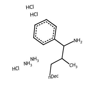 CCCCCCCCCCCC(C)C(N)c1ccccc1.Cl.Cl.Cl.N.N